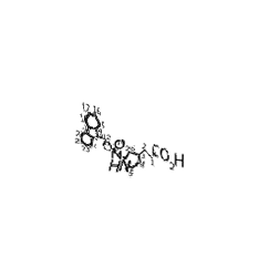 O=C(O)CCc1ccnc(NC(=O)OCC2c3ccccc3-c3ccccc32)c1